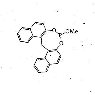 COP1Oc2ccc3ccccc3c2Cc2c(ccc3ccccc23)O1